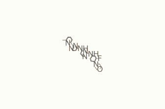 Cc1cccc(-c2nccc(Nc3ccnc(Nc4ccc(N5CCOCC5)c(F)c4)n3)n2)n1